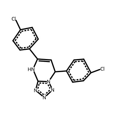 Clc1ccc(C2=CC(c3ccc(Cl)cc3)n3nnnc3N2)cc1